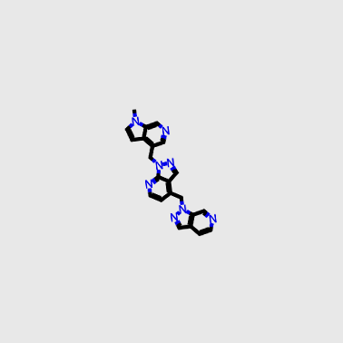 Cn1ccc2c(Cn3ncc4c(Cn5ncc6ccncc65)ccnc43)cncc21